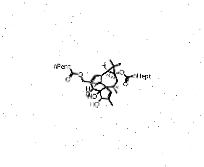 CCCCCCCC(=O)O[C@@]12C[C@@H](C)C34C=C(C)C(O)C3(O)C(O)C(COC(=O)CCCCC)=CC(C4=O)[C@H]1C2(C)C